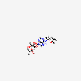 C=C(O[C@H]1CCCC1Nc1ncnc2c1ncn2COC(COC(=O)C(C)C)[C@@H](O)[C@H](C)O)C(C)C